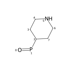 O=PC1CCNCC1